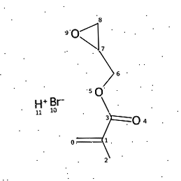 C=C(C)C(=O)OCC1CO1.[Br-].[H+]